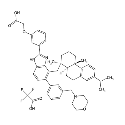 CC(C)c1ccc2c(c1)CC[C@H]1[C@@](C)(Cc3c(-c4cccc(CN5CCOCC5)c4)ccc4[nH]c(-c5cccc(OCC(=O)O)c5)nc34)CCC[C@]21C.O=C(O)C(F)(F)F